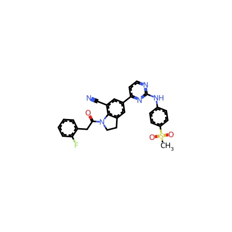 CS(=O)(=O)c1ccc(Nc2nccc(-c3cc(C#N)c4c(c3)CCN4C(=O)Cc3ccccc3F)n2)cc1